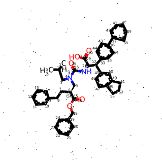 CC(C)CN(C[C@H](CCc1ccccc1)C(=O)OCc1ccccc1)C(=O)N[C@H](C(=O)O)C(c1ccc(-c2ccccc2)cc1)c1ccc2c(c1)CCC2